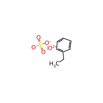 CCc1ccccc1.O=S(=O)([O-])[O-].[O+2]